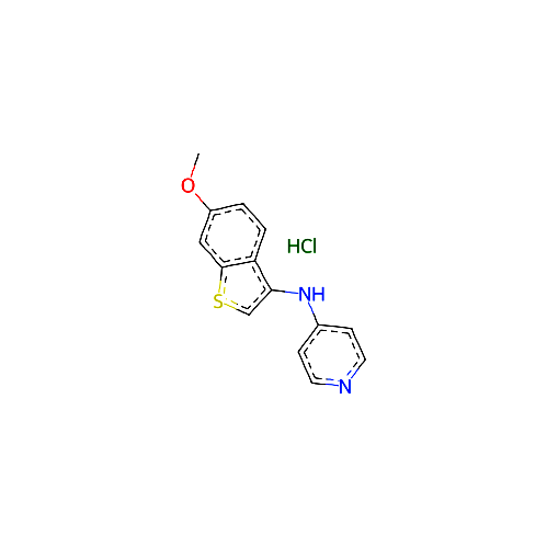 COc1ccc2c(Nc3ccncc3)csc2c1.Cl